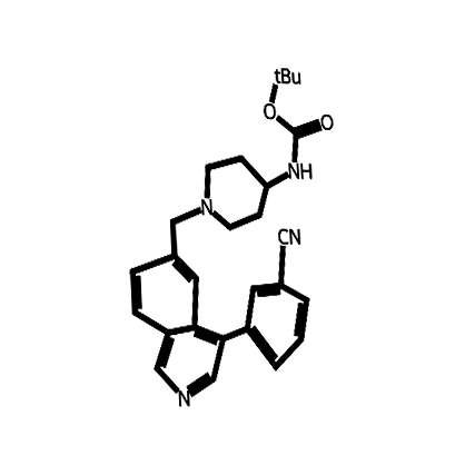 CC(C)(C)OC(=O)NC1CCN(Cc2ccc3cncc(-c4cccc(C#N)c4)c3c2)CC1